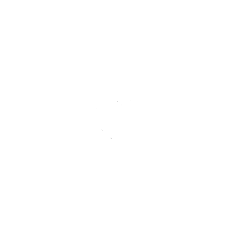 CC(=O)NC(C)CN(C)C